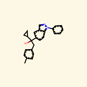 Cc1ccc(CC(O)(c2ccc3c(cnn3-c3ccccc3)c2)C2CC2)cc1